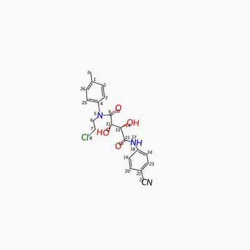 Cc1ccc(N(CCCl)C(=O)[C@H](O)[C@@H](O)C(=O)Nc2ccc(C#N)cc2)cc1